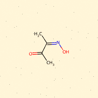 [CH2]C(=NO)C(C)=O